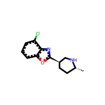 C[C@@H]1CC[C@@H](c2nc3c(Cl)cccc3o2)CN1